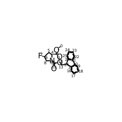 COC(=O)[C@@H]1C[C@H](F)CN1C(=O)OCC1c2ccccc2-c2ccccc21